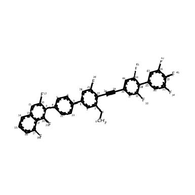 CCc1cc(-c2ccc(-c3c(F)cc4cccc(F)c4c3F)cc2)cc(F)c1C#Cc1cc(F)c(-c2cc(F)c(F)c(F)c2)c(F)c1